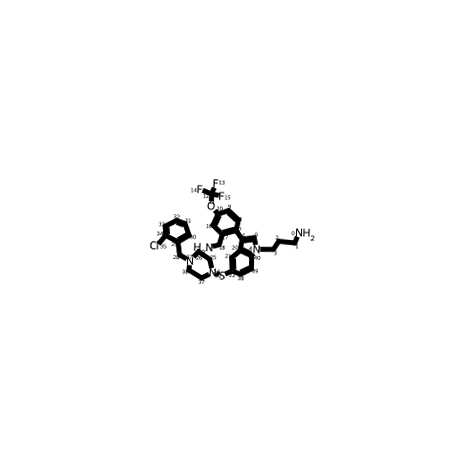 NCCCn1cc(-c2ccc(OC(F)(F)F)cc2CN)c2cc(SN3CCN(Cc4ccccc4Cl)CC3)ccc21